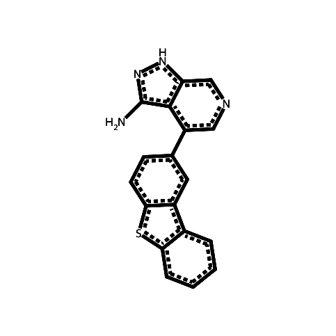 Nc1n[nH]c2cncc(-c3ccc4sc5ccccc5c4c3)c12